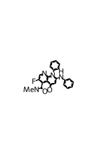 CNC(=O)c1c(F)cnc2c1c(=O)cc(Nc1ccccc1)n2-c1ccccc1